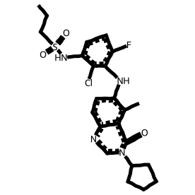 CCCS(=O)(=O)Nc1ccc(F)c(Nc2ccc3ncn(C4CCCC4)c(=O)c3c2C)c1Cl